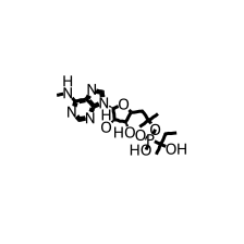 CCC(C)(O)P(=O)(O)OC(C)(C)CC1O[C@@H](n2cnc3c(NC)ncnc32)[C@H](O)[C@@H]1O